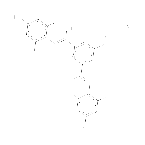 CC(=Nc1c(C(C)C)cc(C)cc1C(C)C)c1cc(C)cc(C(C)=Nc2c(C(C)C)cc(C)cc2C(C)C)n1.[Cl-].[Cl-].[Cl-].[V+3]